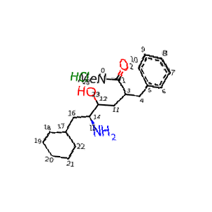 CNC(=O)C(Cc1ccccc1)CC(O)[C@@H](N)CC1CCCCC1.Cl